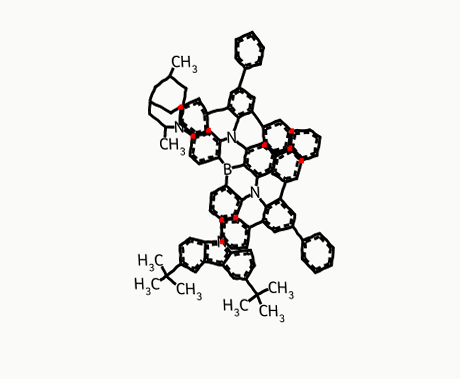 CC1CC2CC(C)N(c3ccc4c(c3)N(c3c(-c5ccccc5)cc(-c5ccccc5)cc3-c3ccccc3)c3cc(-c5ccccc5)cc5c3B4c3ccc(-n4c6ccc(C(C)(C)C)cc6c6cc(C(C)(C)C)ccc64)cc3N5c3c(-c4ccccc4)cc(-c4ccccc4)cc3-c3ccccc3)C(C1)C2